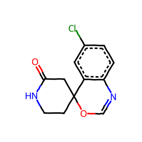 O=C1CC2(CCN1)OC=Nc1ccc(Cl)cc12